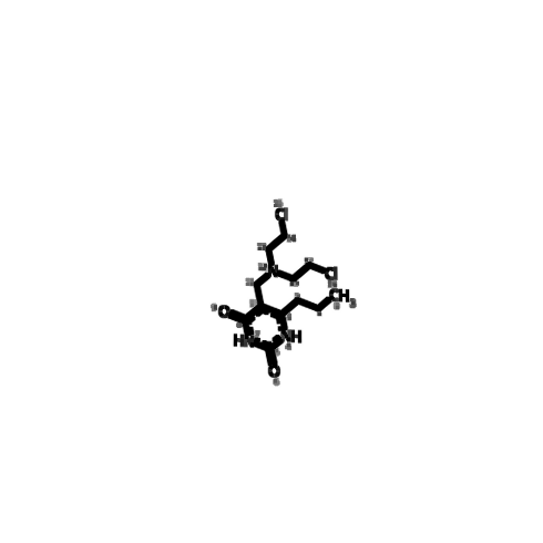 CCCc1[nH]c(=O)[nH]c(=O)c1CN(CCCl)CCCl